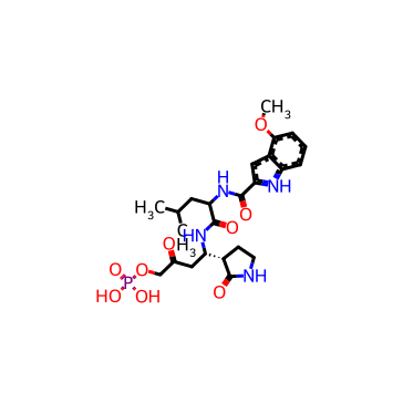 COc1cccc2[nH]c(C(=O)NC(CC(C)C)C(=O)NC(CC(=O)COP(=O)(O)O)[C@@H]3CCNC3=O)cc12